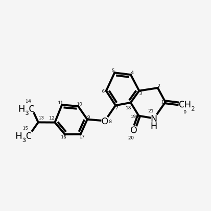 C=C1Cc2cccc(Oc3ccc(C(C)C)cc3)c2C(=O)N1